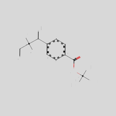 CCC(C)(C)C(C)c1ccc(C(=O)OC(C)(C)C)cc1